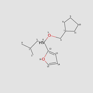 CC(C)C[SiH](OCC1CCCC1)c1ccco1